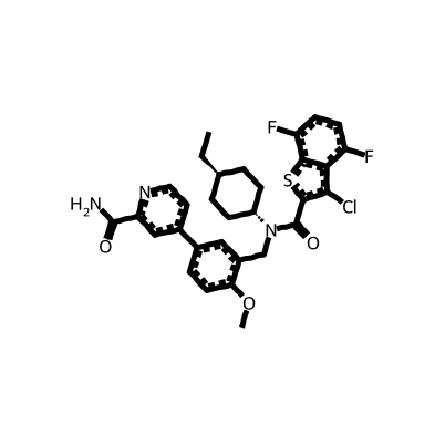 CC[C@H]1CC[C@H](N(Cc2cc(-c3ccnc(C(N)=O)c3)ccc2OC)C(=O)c2sc3c(F)ccc(F)c3c2Cl)CC1